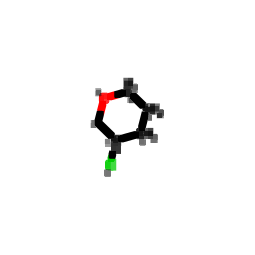 Cl[SiH]1CO[SiH2][SiH2][SiH2]1